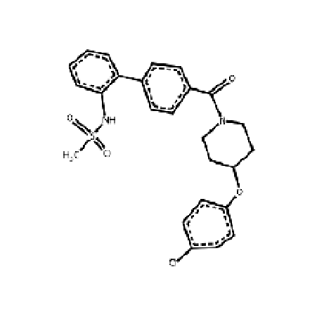 CS(=O)(=O)Nc1ccccc1-c1ccc(C(=O)N2CCC(Oc3ccc(Cl)cc3)CC2)cc1